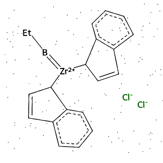 CC[B]=[Zr+2]([CH]1C=Cc2ccccc21)[CH]1C=Cc2ccccc21.[Cl-].[Cl-]